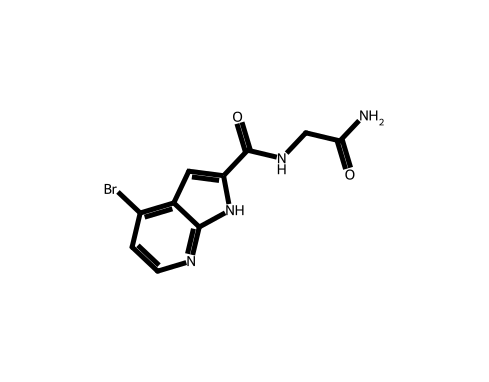 NC(=O)CNC(=O)c1cc2c(Br)ccnc2[nH]1